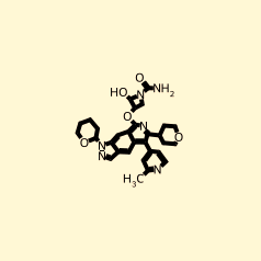 Cc1cc(-c2c(C3CCOCC3)nc(OC3CN(C(N)=O)C3O)c3cc4c(cnn4C4CCCCO4)cc23)ccn1